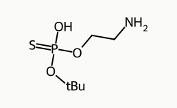 CC(C)(C)OP(O)(=S)OCCN